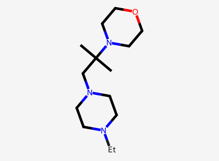 CCN1CCN(CC(C)(C)N2CCOCC2)CC1